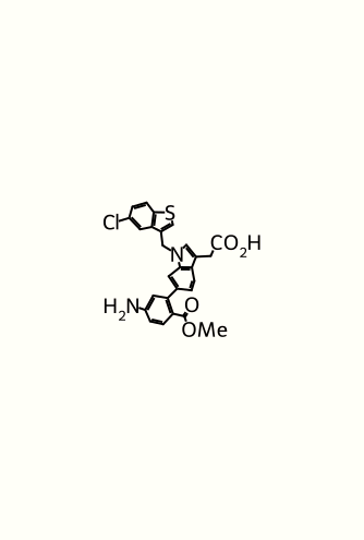 COC(=O)c1ccc(N)cc1-c1ccc2c(CC(=O)O)cn(Cc3csc4ccc(Cl)cc34)c2c1